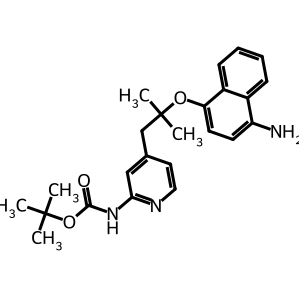 CC(C)(C)OC(=O)Nc1cc(CC(C)(C)Oc2ccc(N)c3ccccc23)ccn1